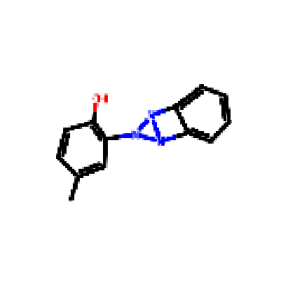 Cc1ccc(O)c(-n2n3c4ccccc4n23)c1